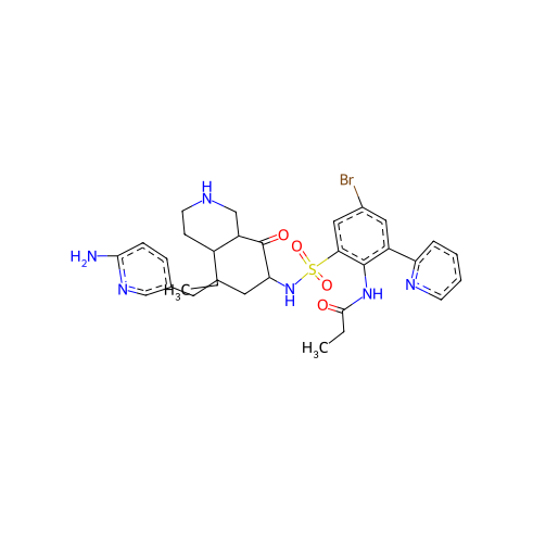 CCC(=O)Nc1c(-c2ccccn2)cc(Br)cc1S(=O)(=O)NC(CCCc1ccc(N)nc1)C(=O)C1CNCCC1CC